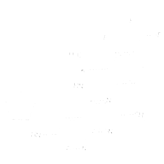 Cc1nc(N[C@H](C)c2cccc(C(F)F)c2F)c2cc(NC3CCCC3)cnc2n1